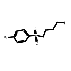 O=S(=O)(CCCCI)c1ccc(Br)cc1